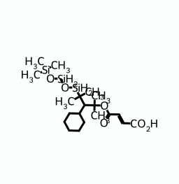 CC(C)(OC(=O)C=CC(=O)O)C(C1CCCCC1)C(C)(C)[SiH2]O[SiH2]O[Si](C)(C)C